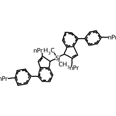 CCCC1=Cc2c(-c3ccc(CCC)cc3)cccc2C1[Si](C)(C)C1C(CCC)=Cc2c(-c3ccc(CCC)cc3)cccc21